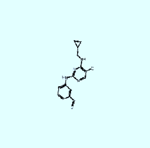 O=Cc1cccc(Nc2ncc(Cl)c(NCC3CC3)n2)c1